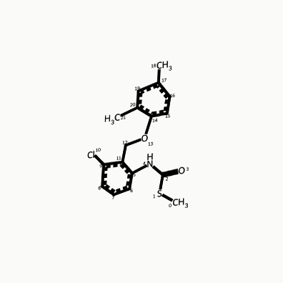 CSC(=O)Nc1cccc(Cl)c1COc1ccc(C)cc1C